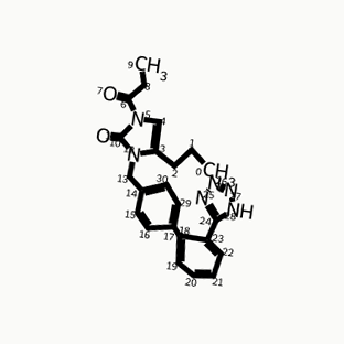 CCCc1cn(C(=O)CC)c(=O)n1Cc1ccc(-c2ccccc2-c2nnn[nH]2)cc1